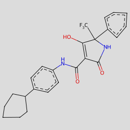 O=C(Nc1ccc(C2CCCCC2)cc1)C1=C(O)C(c2ccccc2)(C(F)(F)F)NC1=O